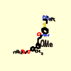 CCCCOCCOc1ccc(-c2ccc(OC)c(/C=C/C(=O)Nc3ccc(SCc4cncn4CCC)cc3)c2)c(C)c1